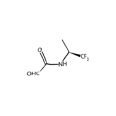 C[C@H](NC(=O)C=O)C(F)(F)F